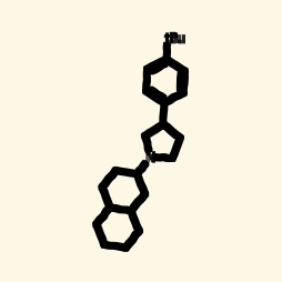 CC(C)(C)c1ccc(C2CCN(C3CCC4CCCCC4C3)C2)cc1